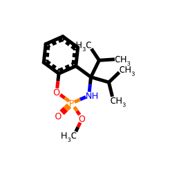 COP1(=O)NC(C(C)C)(C(C)C)c2ccccc2O1